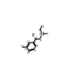 CCN(C)C[C@@H](I)c1cccc(C)c1